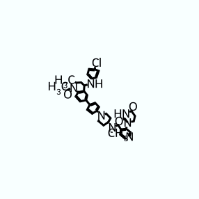 CC(=O)N1c2ccc(-c3ccc(N4CCC(N(C)Cc5ccncc5N5CCC(=O)NC5=O)CC4)cc3)cc2C(Nc2ccc(Cl)cc2)CC1C